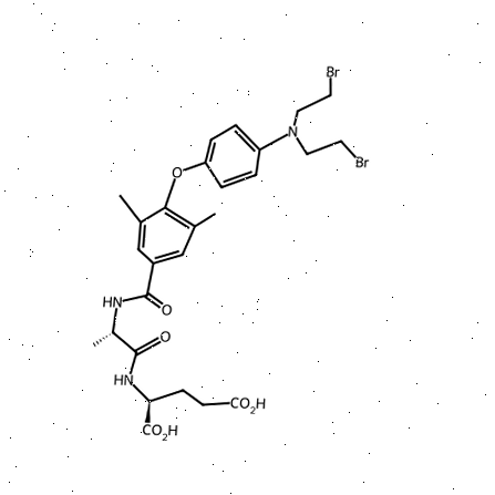 Cc1cc(C(=O)N[C@@H](C)C(=O)N[C@@H](CCC(=O)O)C(=O)O)cc(C)c1Oc1ccc(N(CCBr)CCBr)cc1